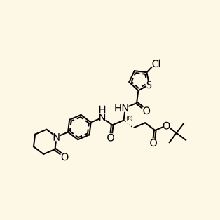 CC(C)(C)OC(=O)CC[C@@H](NC(=O)c1ccc(Cl)s1)C(=O)Nc1ccc(N2CCCCC2=O)cc1